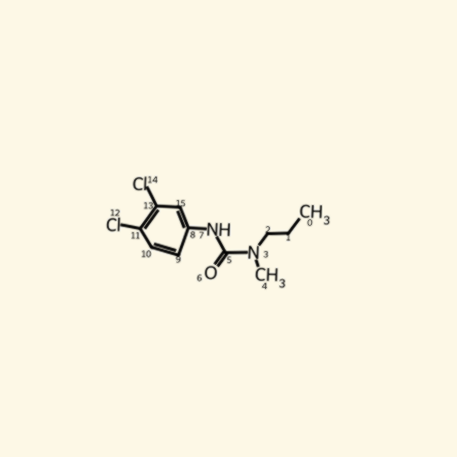 CCCN(C)C(=O)Nc1ccc(Cl)c(Cl)c1